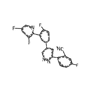 N#Cc1cc(F)ccc1-c1cc(-c2ccc(F)c(-c3ncc(F)cc3F)c2)cnn1